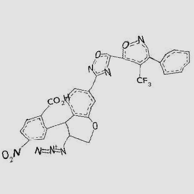 [N-]=[N+]=NC1COc2cc(-c3noc(-c4onc(-c5ccccc5)c4C(F)(F)F)n3)ccc2C1c1cc([N+](=O)[O-])ccc1C(=O)O